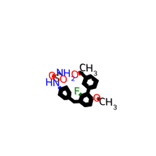 COc1ccc(Cc2ccc(NS(N)(=O)=O)cc2)c(F)c1-c1cccc(C(C)=O)c1